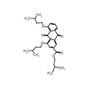 CC(C)CCOC(=O)c1cc(OCCC(C)C)c2c(c1)C(=O)c1cccc(OCCC(C)C)c1C2=O